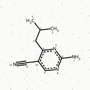 CC(C)Cc1nc(N)ncc1C#N